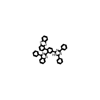 c1ccc(C2=NC(c3ccc(-c4cccc5c4Sc4ccccc4S5)c(-c4nc(-c5ccccc5)c5ccccc5n4)c3)NC(c3ccccc3)=N2)cc1